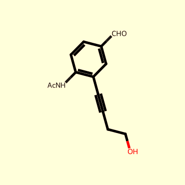 CC(=O)Nc1ccc(C=O)cc1C#CCCO